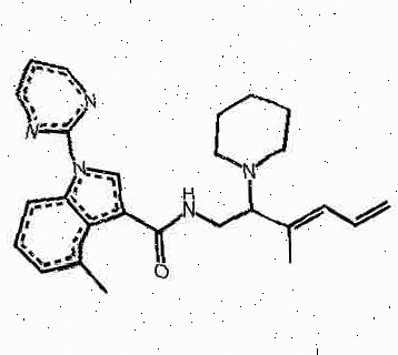 C=C/C=C(\C)C(CNC(=O)c1cn(-c2ncccn2)c2cccc(C)c12)N1CCCCC1